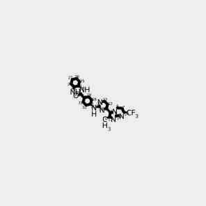 Cc1nc2nc(C(F)(F)F)ccn2c1-c1ccnc(Nc2ccc(C(=O)Nc3ccccc3N)cc2)n1